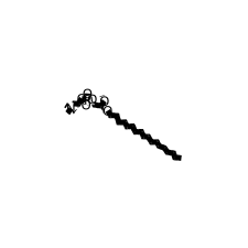 CCCCCCCCCCCCCCCCCCOC[C@H](COP(=O)([O-])OCC[N+](C)(C)C)OC